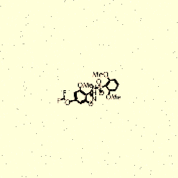 COc1cccc(OC)c1S(=O)(=O)Nc1noc2cc(OC(F)F)cc(OC)c12